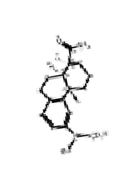 CC(C)(C)N(C(=O)O)c1ccc2c(c1)[C@@]1(C)CCC[C@](C)(C(N)=O)[C@@H]1CC2